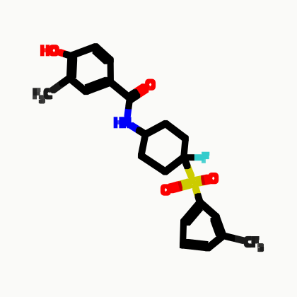 O=C(NC1CCC(F)(S(=O)(=O)c2cccc(C(F)(F)F)c2)CC1)c1ccc(O)c(C(F)(F)F)c1